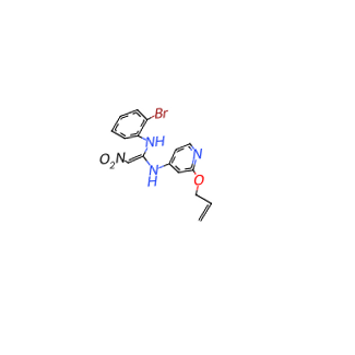 C=CCOc1cc(NC(=C[N+](=O)[O-])Nc2ccccc2Br)ccn1